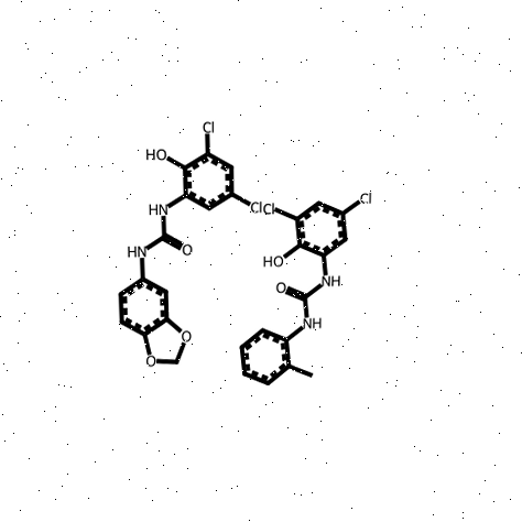 Cc1ccccc1NC(=O)Nc1cc(Cl)cc(Cl)c1O.O=C(Nc1ccc2c(c1)OCO2)Nc1cc(Cl)cc(Cl)c1O